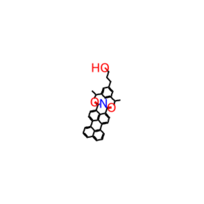 CC(C)c1cc(CCCO)cc(C(C)C)c1N1C(=O)c2ccc3c4cccc5cccc(c6ccc(c2c36)C1=O)c54